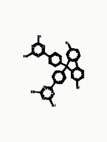 Sc1nc(S)nc(-c2ccc(C3(c4ccc(-c5nc(S)nc(S)n5)cc4)c4cc(Br)ccc4-c4ccc(Br)cc43)cc2)n1